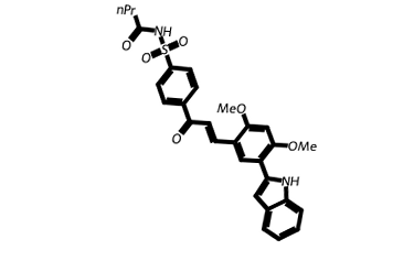 CCCC(=O)NS(=O)(=O)c1ccc(C(=O)/C=C/c2cc(-c3cc4ccccc4[nH]3)c(OC)cc2OC)cc1